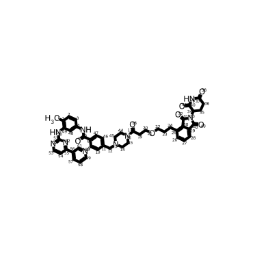 Cc1ccc(NC(=O)c2ccc(CN3CCN(C(=O)CCOCCCc4cccc5c4C(=O)N(C4CCC(=O)NC4=O)C5=O)CC3)cc2)cc1Nc1nccc(-c2cccnc2)n1